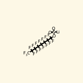 [Li][S](=O)(=O)OC(F)(F)C(F)(F)C(F)(F)C(F)(F)C(F)(F)C(F)(F)C(F)(F)C(F)(F)F